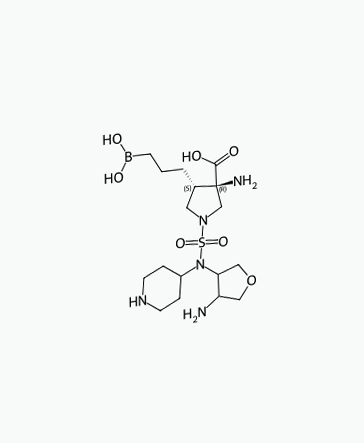 NC1COCC1N(C1CCNCC1)S(=O)(=O)N1C[C@H](CCCB(O)O)[C@](N)(C(=O)O)C1